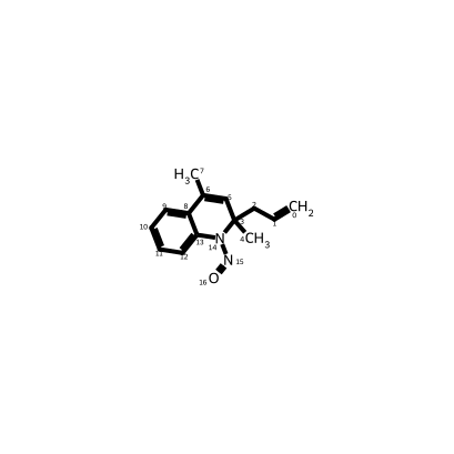 C=CCC1(C)C=C(C)c2ccccc2N1N=O